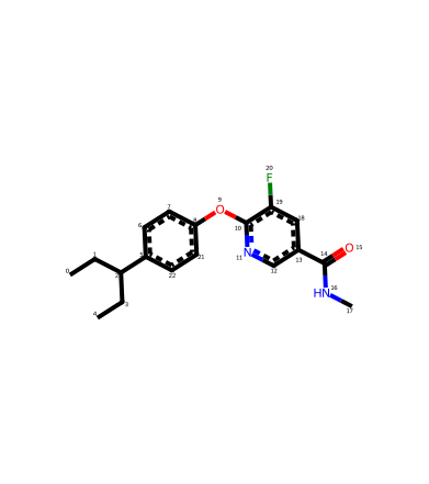 CCC(CC)c1ccc(Oc2ncc(C(=O)NC)cc2F)cc1